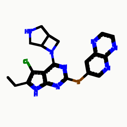 CCc1[nH]c2nc(Sc3cnc4nccnc4c3)nc(N3CC4CNCC43)c2c1Cl